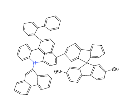 CC(C)(C)c1ccc2c(c1)C1(c3ccccc3-c3ccc(-c4ccc(N(c5ccccc5-c5ccccc5-c5ccccc5-c5ccccc5)c5cc6ccccc6c6ccccc56)cc4)cc31)c1cc(C(C)(C)C)ccc1-2